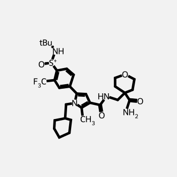 Cc1c(C(=O)NCC2(C(N)=O)CCOCC2)cc(-c2ccc([S+]([O-])NC(C)(C)C)c(C(F)(F)F)c2)n1CC1CCCCC1